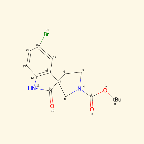 CC(C)(C)OC(=O)N1CCC2(C1)C(=O)Nc1ccc(Br)cc12